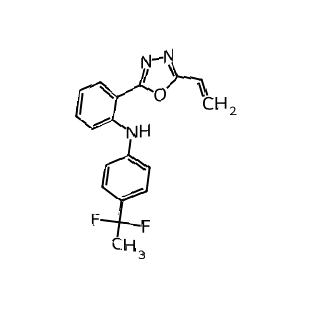 C=Cc1nnc(-c2ccccc2Nc2ccc(C(C)(F)F)cc2)o1